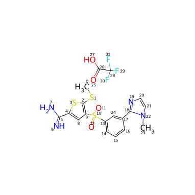 CSc1sc(C(=N)N)cc1S(=O)(=O)c1cccc(-c2nccn2C)c1.O=C(O)C(F)(F)F